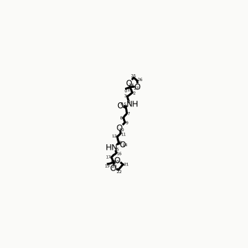 CC1(CCNC(=O)CCCOCCC(=O)NCCC2(C)OCCO2)OCCO1